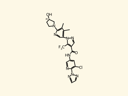 Cc1c(-n2ncc(C(=O)Nc3cnc(-n4nccn4)c(Cl)c3)c2C(F)(F)F)cnc(N2CC[C@@H](O)C2)c1C